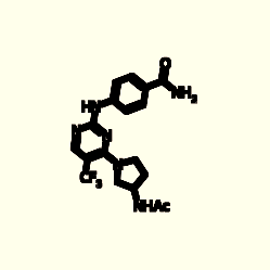 CC(=O)NC1CCN(c2nc(Nc3ccc(C(N)=O)cc3)ncc2C(F)(F)F)C1